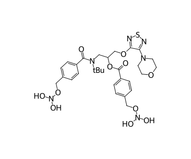 CC(C)(C)N(CC(COc1nsnc1N1CCOCC1)OC(=O)c1ccc(CON(O)O)cc1)C(=O)c1ccc(CON(O)O)cc1